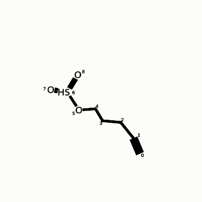 C#CCCCO[SH](=O)=O